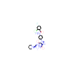 NC(=O)c1ncn(-c2ccc(NC(=O)c3ccc(F)cc3Cl)cc2)c1C(=O)NCCN1CCCCC1